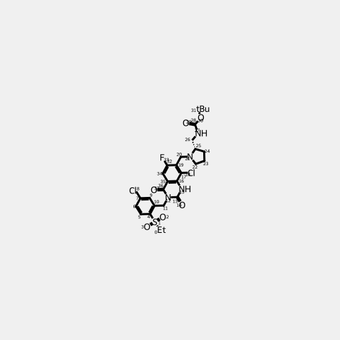 CCS(=O)(=O)c1ccc(Cl)cc1Cn1c(=O)[nH]c2c(Cl)c(CN3CCC[C@H]3CNC(=O)OC(C)(C)C)c(F)cc2c1=O